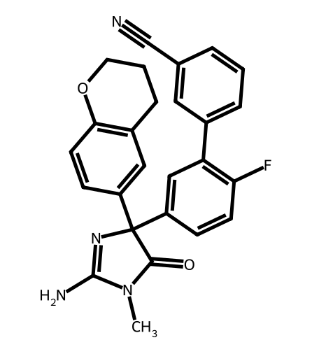 CN1C(=O)C(c2ccc3c(c2)CCCO3)(c2ccc(F)c(-c3cccc(C#N)c3)c2)N=C1N